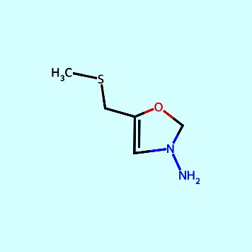 CSCC1=CN(N)CO1